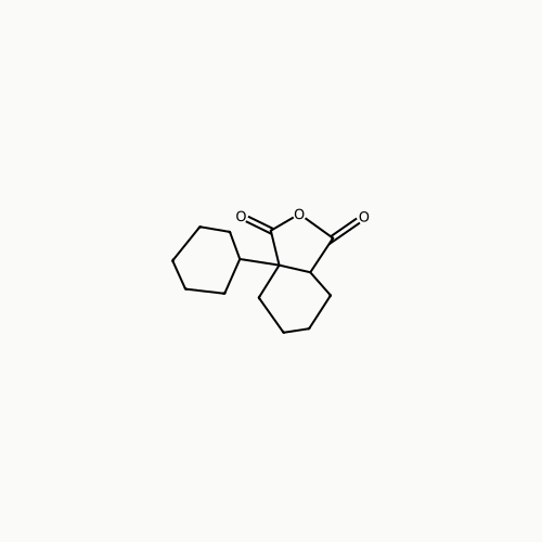 O=C1OC(=O)C2(C3CCCCC3)CCCCC12